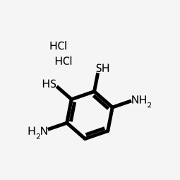 Cl.Cl.Nc1ccc(N)c(S)c1S